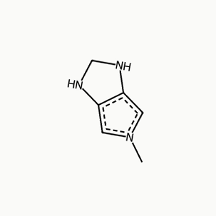 Cn1cc2c(c1)NCN2